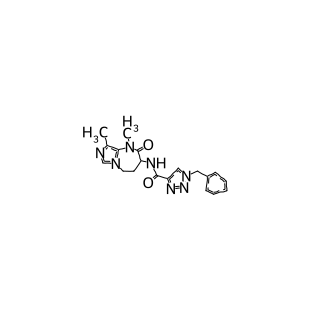 Cc1ncn2c1N(C)C(=O)C(NC(=O)c1cn(Cc3ccccc3)nn1)CC2